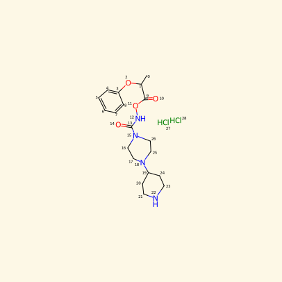 CC(Oc1ccccc1)C(=O)ONC(=O)N1CCN(C2CCNCC2)CC1.Cl.Cl